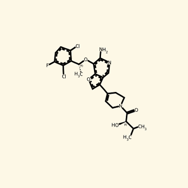 CC(C)[C@@H](O)C(=O)N1CC=C(c2coc3c(O[C@H](C)c4c(Cl)ccc(F)c4Cl)c(N)ncc23)CC1